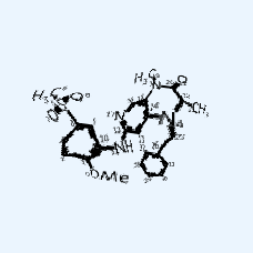 COc1ccc(S(C)(=O)=O)cc1Nc1cc2c(cn1)N(C)C(=O)[C@@H](C)N2Cc1ccccc1